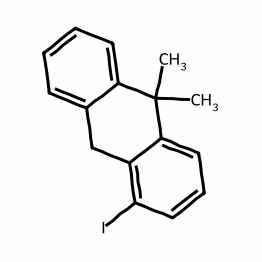 CC1(C)c2ccccc2Cc2c(I)cccc21